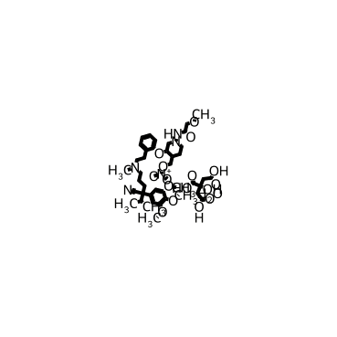 COCC(=O)NN1CCC(CO[N+](=O)[O-])C(Oc2ccccc2CCN(C)CCCC(C#N)(c2cc(OC)c(OC)c(OC)c2)C(C)C)C1.O.O=C(O)CC(O)(CC(=O)O)C(=O)O